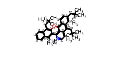 Cc1c2c(c(CC(C)(C)C)c3ccccc13)Oc1c3ccc(CC(C)(C)C)cc3c(CC(C)(C)C)c3cc[n+](C)c-2c13